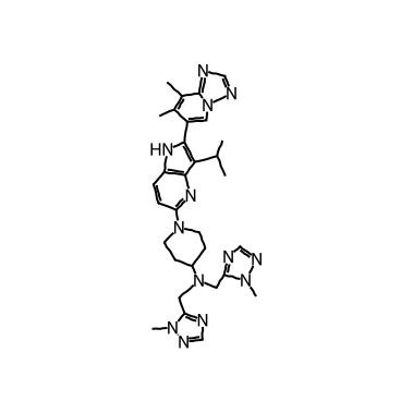 Cc1c(-c2[nH]c3ccc(N4CCC(N(Cc5ncnn5C)Cc5ncnn5C)CC4)nc3c2C(C)C)cn2ncnc2c1C